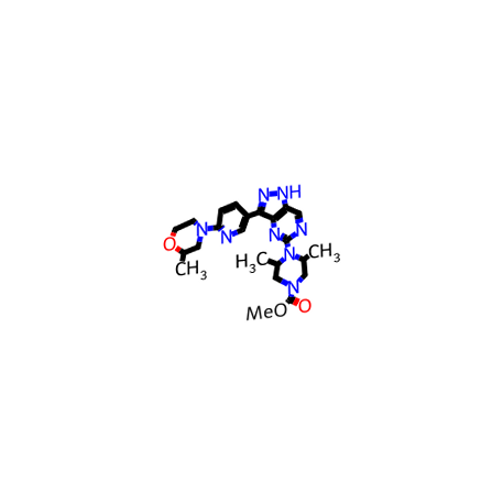 COC(=O)N1CC(C)N(c2ncc3[nH]nc(-c4ccc(N5CCOC(C)C5)nc4)c3n2)C(C)C1